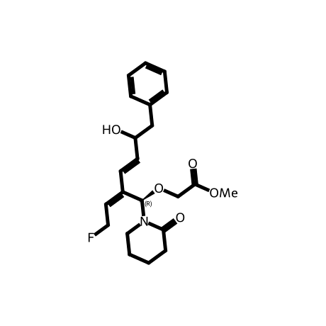 COC(=O)CO[C@H](C(C=CC(O)Cc1ccccc1)=CCF)N1CCCCC1=O